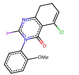 COc1ccccc1-n1c(I)nc2c(c1=O)C(Cl)=CCC2